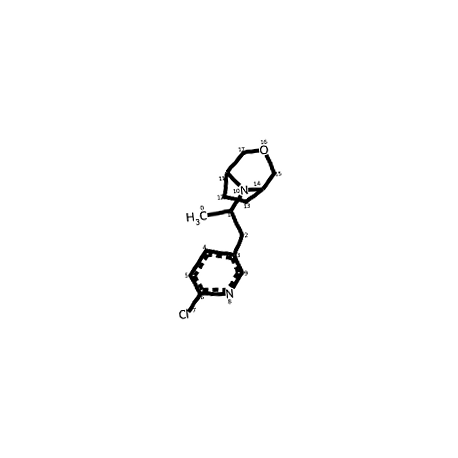 CC(Cc1ccc(Cl)nc1)N1C2CCC1COC2